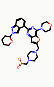 O=[SH](=O)CN1CCN(Cc2cc3nc(-c4cccc5nn(C6CCCCO6)cc45)nc(N4CCOCC4)c3s2)CC1